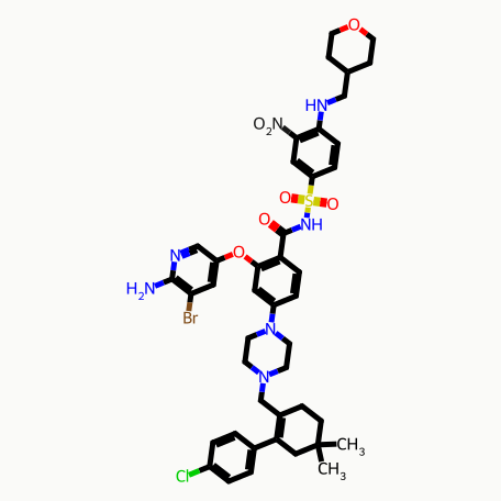 CC1(C)CCC(CN2CCN(c3ccc(C(=O)NS(=O)(=O)c4ccc(NCC5CCOCC5)c([N+](=O)[O-])c4)c(Oc4cnc(N)c(Br)c4)c3)CC2)=C(c2ccc(Cl)cc2)C1